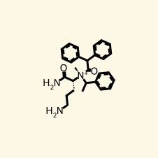 CC(c1ccccc1)[N@@+](C)(C(=O)C(c1ccccc1)c1ccccc1)[C@H](CCCN)C(N)=O